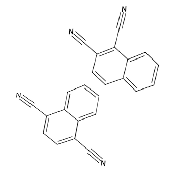 N#Cc1ccc(C#N)c2ccccc12.N#Cc1ccc2ccccc2c1C#N